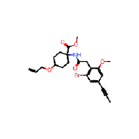 C=CCOC1CCC(NC(=O)Cc2c(Br)cc(C#CC)cc2OC)(C(=O)OC)CC1